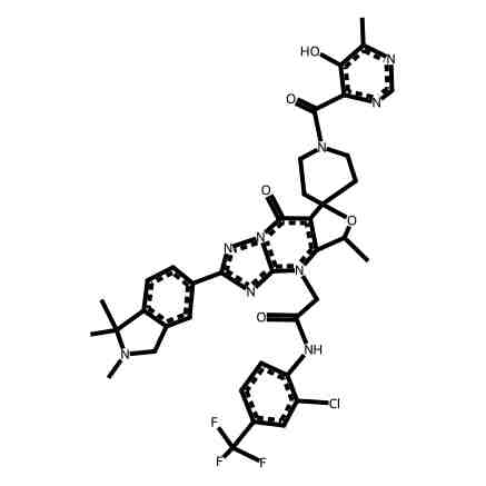 Cc1ncnc(C(=O)N2CCC3(CC2)OC(C)c2c3c(=O)n3nc(-c4ccc5c(c4)CN(C)C5(C)C)nc3n2CC(=O)Nc2ccc(C(F)(F)F)cc2Cl)c1O